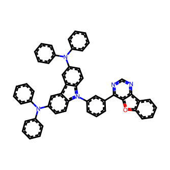 c1ccc(N(c2ccccc2)c2ccc3c(c2)c2cc(N(c4ccccc4)c4ccccc4)ccc2n3-c2cccc(-c3ncnc4c3oc3ccccc34)c2)cc1